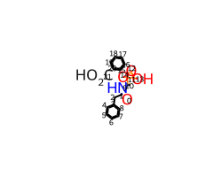 O=C(Cc1ccccc1)NCP(=O)(O)Oc1ccccc1C(=O)O